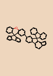 c1ccc2c(c1)Oc1ccc(-c3ccc4c(c3)C3(c5ccccc5-c5ccccc53)c3c-4ccc4ccccc34)cc1C21c2ccccc2-c2ccccc21